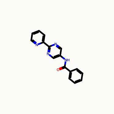 O=C(Nc1cnc(-c2ccccn2)nc1)c1ccccc1